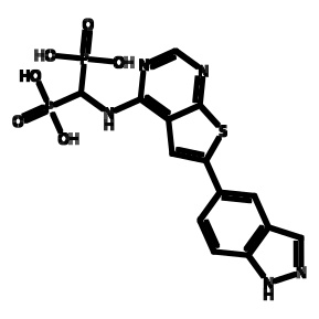 O=P(O)(O)C(Nc1ncnc2sc(-c3ccc4[nH]ncc4c3)cc12)P(=O)(O)O